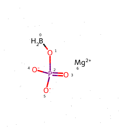 BOP(=O)([O-])[O-].[Mg+2]